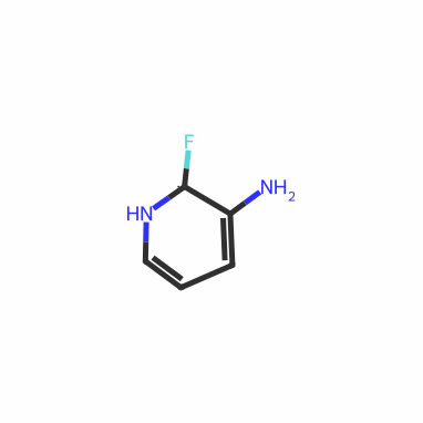 NC1=CC=CN[C]1F